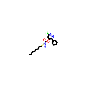 CCCCCCCCSNC(=O)Oc1cc(Cl)nnc1-c1ccccc1